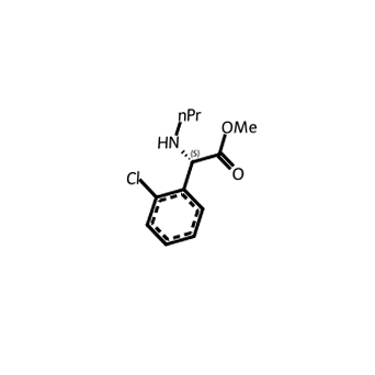 CCCN[C@H](C(=O)OC)c1ccccc1Cl